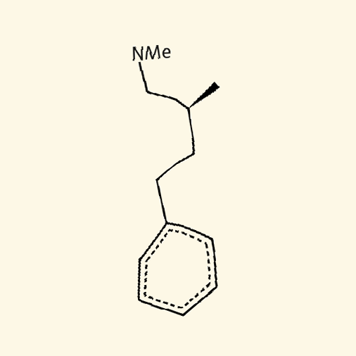 CNC[C@@H](C)CCc1ccccc1